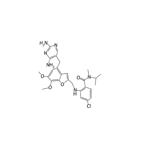 COc1cc(Cc2cnc(N)nc2N)c2cc(CNc3cc(Cl)ccc3C(=O)N(C)C(C)C)oc2c1OC